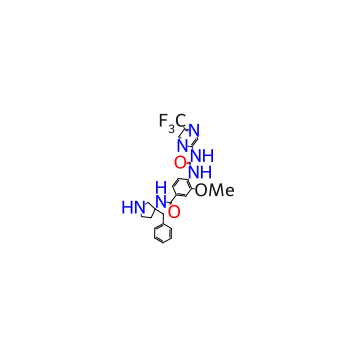 COc1cc(C(=O)NC2(Cc3ccccc3)CCNC2)ccc1NC(=O)Nc1cnc(C(F)(F)F)cn1